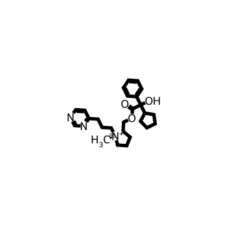 C[N@+]1(CCCc2ccncn2)CCCC1COC(=O)C(O)(c1ccccc1)C1CCCC1